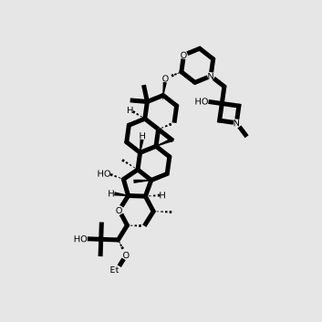 CCO[C@@H]([C@H]1C[C@@H](C)[C@H]2[C@H](O1)[C@H](O)[C@@]1(C)[C@@H]3CC[C@H]4C(C)(C)[C@@H](O[C@H]5CN(CC6(O)CN(C)C6)CCO5)CC[C@@]45C[C@@]35CC[C@]21C)C(C)(C)O